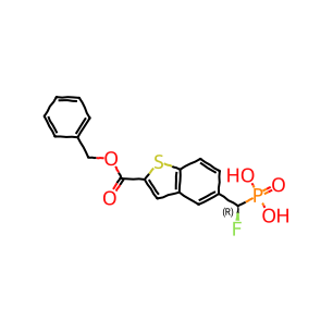 O=C(OCc1ccccc1)c1cc2cc([C@H](F)P(=O)(O)O)ccc2s1